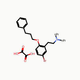 CCCN(CCC)CCc1cc(Br)ccc1OCCCc1ccccc1.O=C(O)C(=O)O